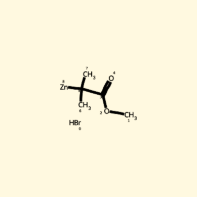 Br.COC(=O)[C](C)(C)[Zn]